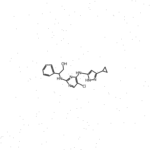 OCC(Nc1ncc(Cl)c(Nc2cc(C3CC3)n[nH]2)n1)c1ccccc1